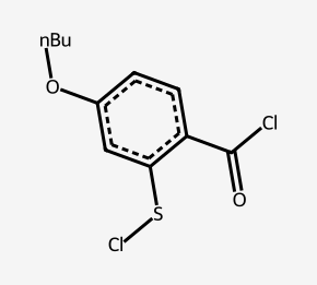 CCCCOc1ccc(C(=O)Cl)c(SCl)c1